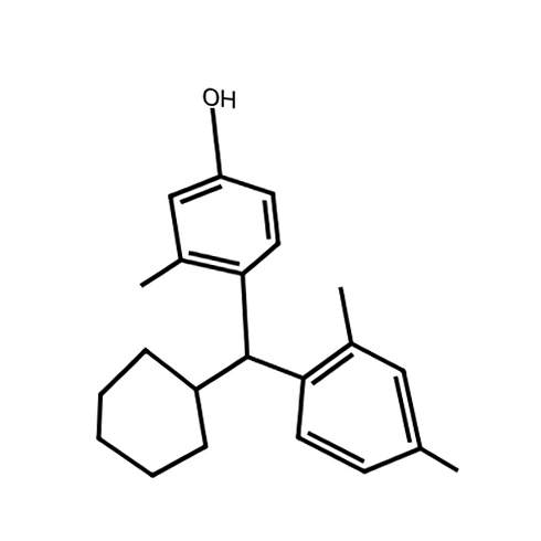 Cc1ccc(C(c2ccc(O)cc2C)C2CCCCC2)c(C)c1